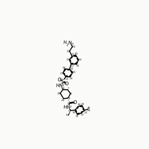 C[C@@H](NC(=O)[C@H]1CC[C@H](NS(=O)(=O)c2ccc(-c3cccc(CCN)c3)cc2)CC1)c1ccc(F)cc1